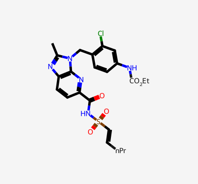 CCC/C=C/S(=O)(=O)NC(=O)c1ccc2nc(C)n(Cc3ccc(NC(=O)OCC)cc3Cl)c2n1